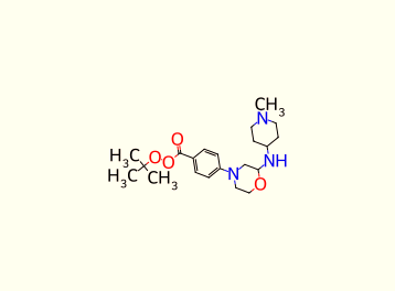 CN1CCC(NC2CN(c3ccc(C(=O)OOC(C)(C)C)cc3)CCO2)CC1